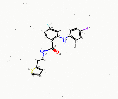 Cc1cc(I)ccc1Nc1cc(F)ccc1C(=O)NCCc1cccs1